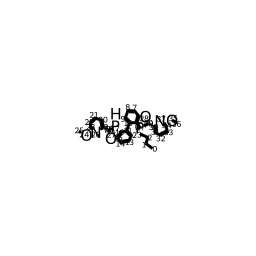 CCCC[P@]1c2c(cccc2-c2cccc3c2P[C@H](c2cccc(OC)n2)O3)O[C@H]1c1cccc(OC)n1